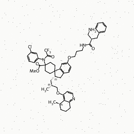 COC(=O)C1(N(C(=O)C(F)(F)F)c2cccc(Cl)c2)CCC2(CC1)c1cc(OCCCNC(=O)C(CN)Cc3ccccc3)ccc1C[C@@H]2C[C@@H](C)COc1ccnc2c1[C@H](C)CCC2